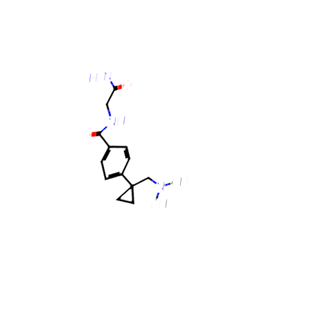 CN(C)CC1(c2ccc(C(=O)NCC(N)=O)cc2)CC1